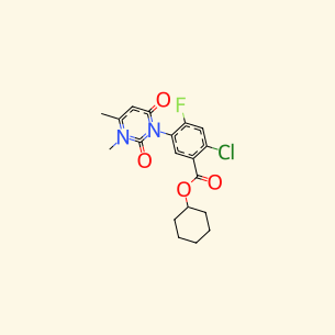 Cc1cc(=O)n(-c2cc(C(=O)OC3CCCCC3)c(Cl)cc2F)c(=O)n1C